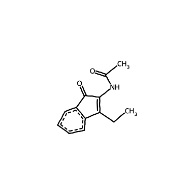 CCC1=C(NC(C)=O)C(=O)c2ccccc21